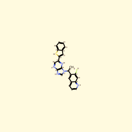 CC(c1cc2cccnc2cc1F)n1cnc2ncc(-c3cc4ccccc4s3)nc21